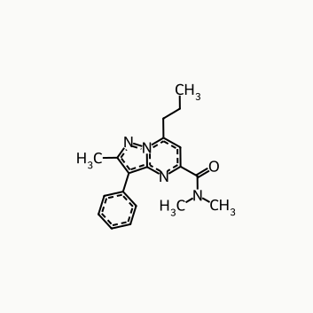 CCCc1cc(C(=O)N(C)C)nc2c(-c3ccccc3)c(C)nn12